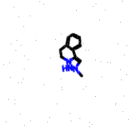 CN1C=C2c3ccccc3CCN2N1